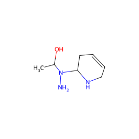 CC(O)N(N)C1CC=CCN1